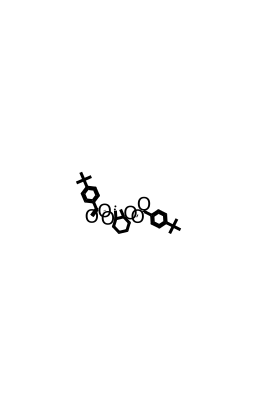 [CH2]C1(OOC(=O)c2ccc(C(C)(C)C)cc2)CCCCC1([CH2])OOC(=O)c1ccc(C(C)(C)C)cc1